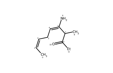 C/C=C\C/C=C(/N)C(C)C(=O)CC